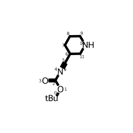 CC(C)(C)OC(=O)[N+]#CC1CCCNC1